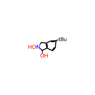 CC(C)(C)c1ccc2c(c1)CN(O)C2O